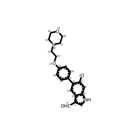 O=Cc1c[nH]c2cc(Cl)c(-c3ccc(OCCN4CCOCC4)cc3)cc12